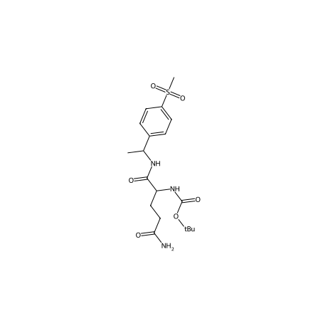 CC(NC(=O)C(CCC(N)=O)NC(=O)OC(C)(C)C)c1ccc(S(C)(=O)=O)cc1